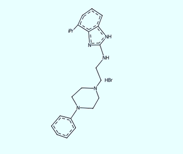 Br.CC(C)c1cccc2[nH]c(NCCN3CCN(c4ccccc4)CC3)nc12